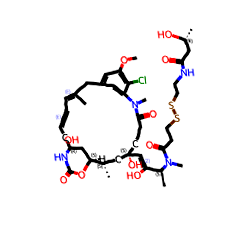 COc1cc2cc(c1Cl)N(C)C(=O)CC[C@@](O)(/C=C(\O)[C@H](C)N(C)C(=O)CCSSCCNC(=O)C[C@@H](C)O)C[C@H](C)[C@@H]1C[C@](O)(C/C=C/C=C(\C)C2)NC(=O)O1